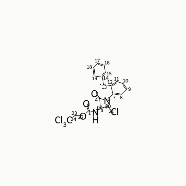 O=C(N[C@H]1C(=O)N(c2ccccc2[CH]c2ccccc2)[C@@H]1Cl)OCC(Cl)(Cl)Cl